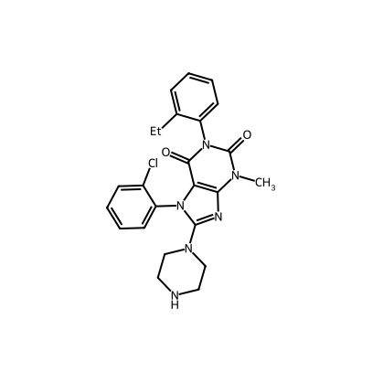 CCc1ccccc1-n1c(=O)c2c(nc(N3CCNCC3)n2-c2ccccc2Cl)n(C)c1=O